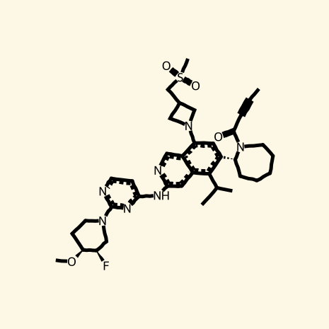 CC#CC(=O)N1CCCCC[C@@H]1c1cc(N2CC(CS(C)(=O)=O)C2)c2cnc(Nc3ccnc(N4CC[C@H](OC)[C@H](F)C4)n3)cc2c1C(C)C